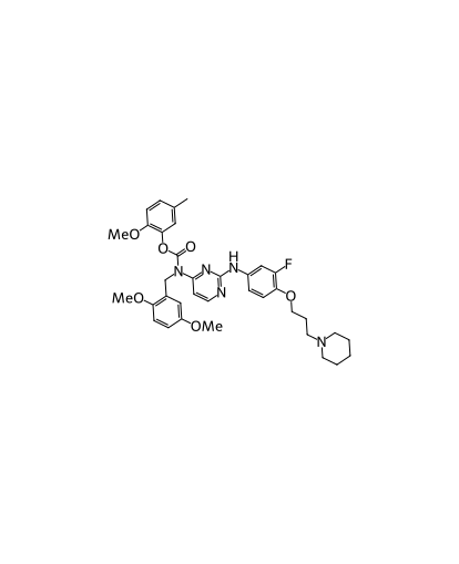 COc1ccc(OC)c(CN(C(=O)Oc2cc(C)ccc2OC)c2ccnc(Nc3ccc(OCCCN4CCCCC4)c(F)c3)n2)c1